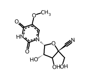 COc1cn([C@@H]2O[C@](C#N)(CO)C(O)[C@@H]2O)c(=O)[nH]c1=O